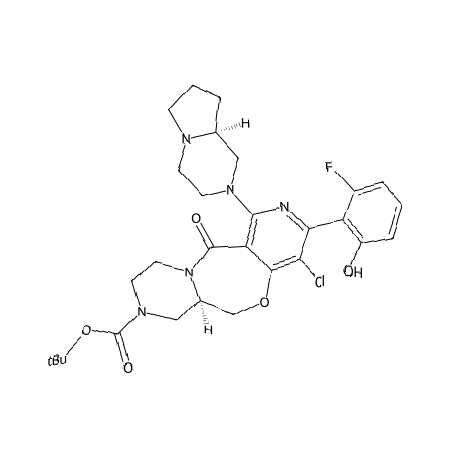 CC(C)(C)OC(=O)N1CCN2C(=O)c3c(N4CCN5CCC[C@H]5C4)nc(-c4c(O)cccc4F)c(Cl)c3OC[C@H]2C1